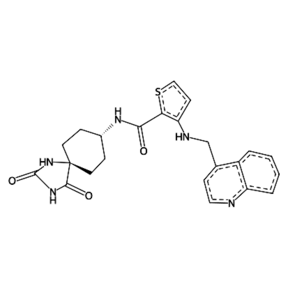 O=C1NC(=O)[C@]2(CC[C@@H](NC(=O)c3sccc3NCc3ccnc4ccccc34)CC2)N1